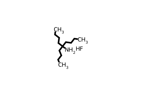 CCCCC(N)(CCCC)CCCC.F